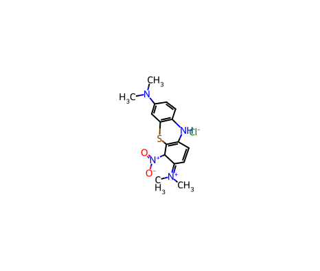 CN(C)c1ccc2c(c1)SC1=C(C=CC(=[N+](C)C)C1[N+](=O)[O-])N2.[Cl-]